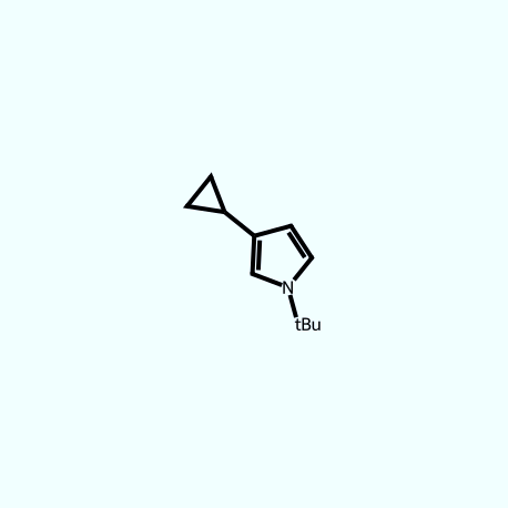 CC(C)(C)n1ccc(C2CC2)c1